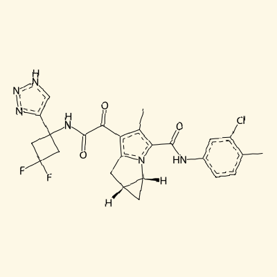 Cc1ccc(NC(=O)c2c(C)c(C(=O)C(=O)NC3(c4c[nH]nn4)CC(F)(F)C3)c3n2[C@@H]2C[C@@H]2C3)cc1Cl